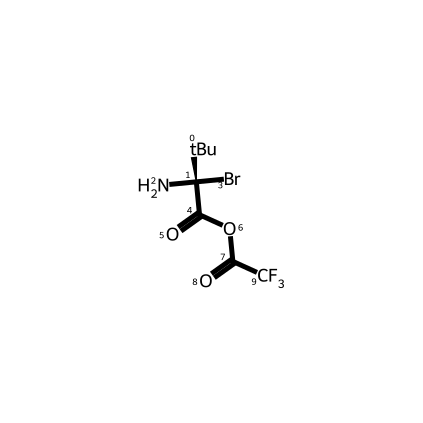 CC(C)(C)[C@@](N)(Br)C(=O)OC(=O)C(F)(F)F